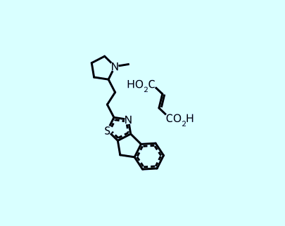 CN1CCCC1CCc1nc2c(s1)Cc1ccccc1-2.O=C(O)C=CC(=O)O